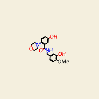 COc1ccc(CNC(=O)c2cc(O)ccc2N2CCOCC2)cc1O